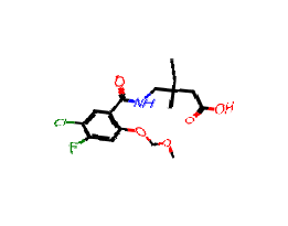 COCOc1cc(F)c(Cl)cc1C(=O)NCC(C)(C)CC(=O)O